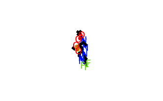 CCS(=O)(=O)c1cc(N(C)C(=O)OC(C)(C)C)cnc1-c1ccn2nc(C(F)(F)F)cc2n1